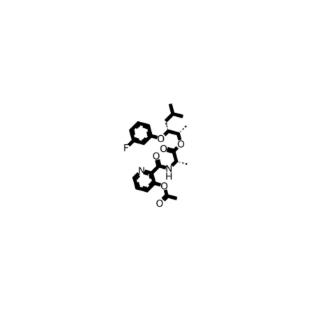 CC(=O)Oc1cccnc1C(=O)N[C@@H](C)C(=O)O[C@@H](C)[C@@H](CC(C)C)Oc1cccc(F)c1